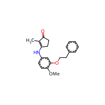 COc1ccc(NC2=C(C)C(=O)CC2)cc1OCCc1ccccc1